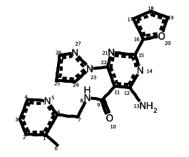 Cc1cccnc1CNC(=O)c1c(N)nc(-c2ccco2)nc1-n1cccn1